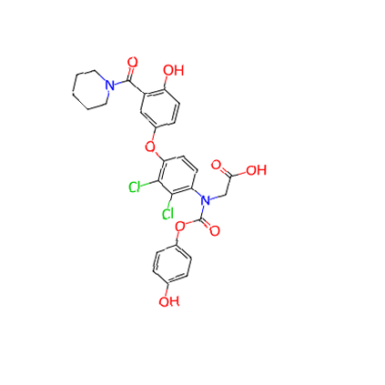 O=C(O)CN(C(=O)Oc1ccc(O)cc1)c1ccc(Oc2ccc(O)c(C(=O)N3CCCCC3)c2)c(Cl)c1Cl